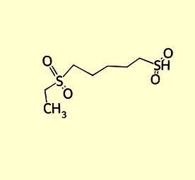 CCS(=O)(=O)CCCCC[SH](=O)=O